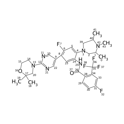 CC1CN(c2cc(F)c(-c3cnc(N4CCOC(C)(C)C4)nc3)cc2NC(=O)c2ccc(F)cc2C(F)(F)F)CC(C)N1C